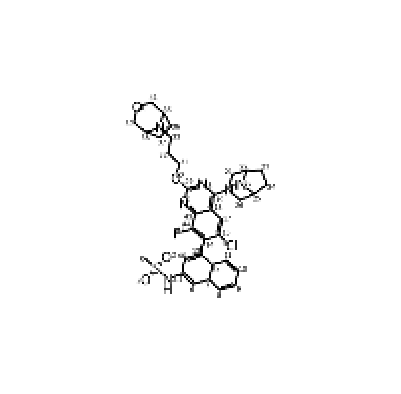 CS(=O)(=O)NC1=CC2C=CC=CC2C(c2c(Cl)cc3c(N4CC5CCC(C4)N5)nc(OCCCN4C5CCC4COC5)nc3c2F)=C1